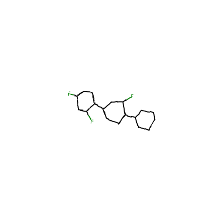 FC1CCC(C2CCC(C3CCCCC3)C(F)C2)C(F)C1